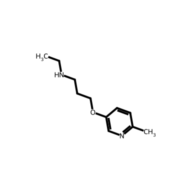 CCNCCCOc1ccc(C)nc1